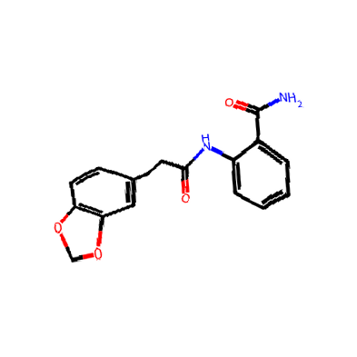 NC(=O)c1ccccc1NC(=O)Cc1ccc2c(c1)OCO2